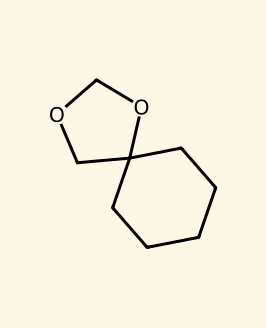 C1CCC2(CC1)COCO2